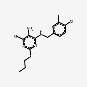 CCCSc1nc(Cl)c(N)c(NCc2ccc(Cl)c(C)c2)n1